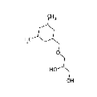 CC1CC(C)CC(COCC(O)CO)C1